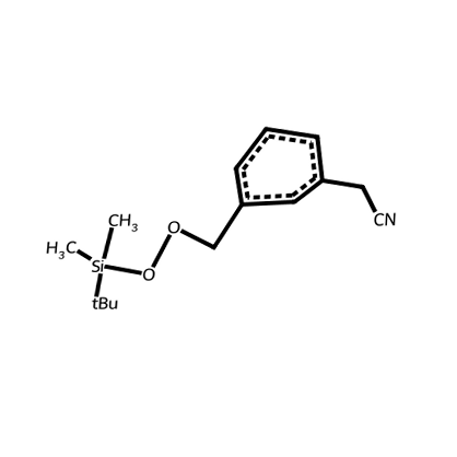 CC(C)(C)[Si](C)(C)OOCc1cccc(CC#N)c1